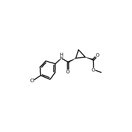 COC(=O)[C@@H]1C[C@@H]1C(=O)Nc1ccc(Cl)cc1